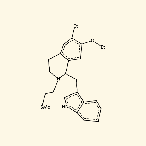 CCOc1cc2c(cc1CC)CCN(CCSC)C2Cc1c[nH]c2ccccc12